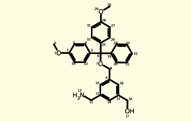 COc1ccc(C(OCc2cc(CN)cc(CO)c2)(c2ccccc2)c2ccc(OC)cc2)cc1